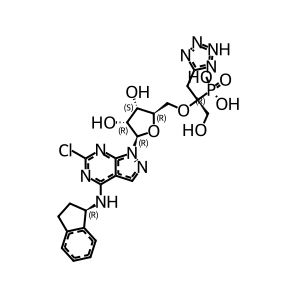 O=P(O)(O)[C@@](CO)(Cc1nn[nH]n1)OC[C@H]1O[C@@H](n2ncc3c(N[C@@H]4CCc5ccccc54)nc(Cl)nc32)[C@H](O)[C@@H]1O